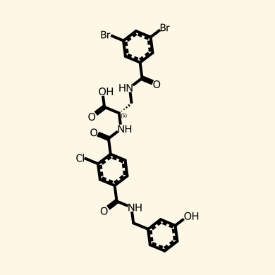 O=C(NCc1cccc(O)c1)c1ccc(C(=O)N[C@@H](CNC(=O)c2cc(Br)cc(Br)c2)C(=O)O)c(Cl)c1